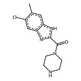 Cc1cc2[nH]c(C(=O)N3CCNCC3)nc2cc1Cl